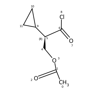 CC(=O)OC[C@H](C(=O)Cl)C1CC1